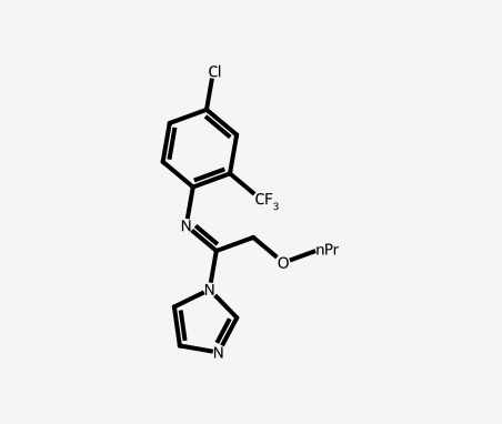 CCCOCC(=Nc1ccc(Cl)cc1C(F)(F)F)n1ccnc1